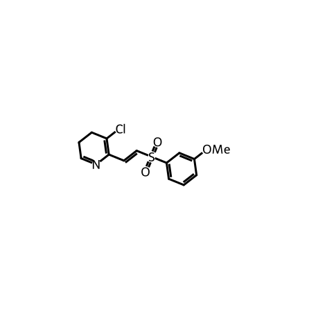 COc1cccc(S(=O)(=O)/C=C/C2=C(Cl)CCC=N2)c1